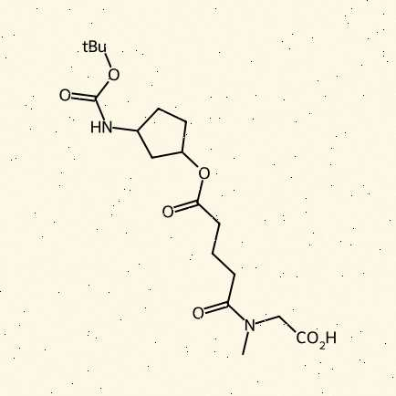 CN(CC(=O)O)C(=O)CCCC(=O)OC1CCC(NC(=O)OC(C)(C)C)C1